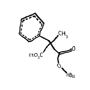 CCCCOC(=O)C(C)(C(=O)OCC)c1ccccc1